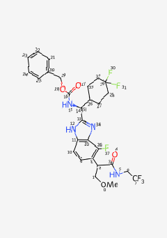 COCC(C(=O)NCC(F)(F)F)c1ccc2[nH]c([C@@H](NC(=O)OCc3ccccc3)C3CCC(F)(F)CC3)nc2c1F